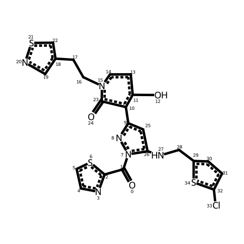 O=C(c1nccs1)n1nc(-c2c(O)ccn(CCc3cnsc3)c2=O)cc1NCc1ccc(Cl)s1